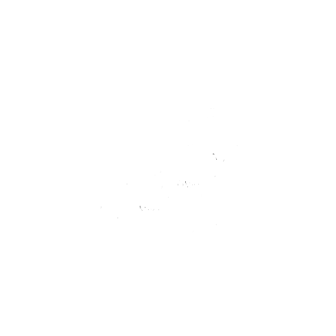 COC(OC)(C(=O)c1ccccc1)c1ccccc1SCN1CCOCC1